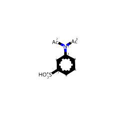 CC(=O)N(C(C)=O)c1cccc(S(=O)(=O)O)c1